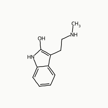 CNCCc1c(O)[nH]c2ccccc12